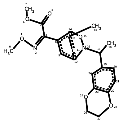 CON=C(C(=O)OC)c1cc2cc(C)c1ON2C(C)c1ccc2c(c1)OCCO2